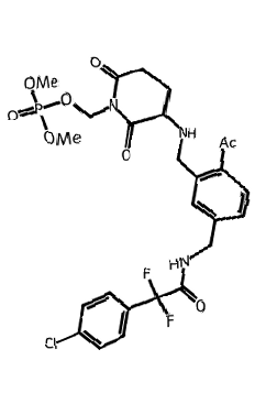 COP(=O)(OC)OCN1C(=O)CCC(NCc2cc(CNC(=O)C(F)(F)c3ccc(Cl)cc3)ccc2C(C)=O)C1=O